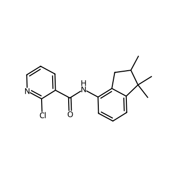 CC1Cc2c(NC(=O)c3cccnc3Cl)cccc2C1(C)C